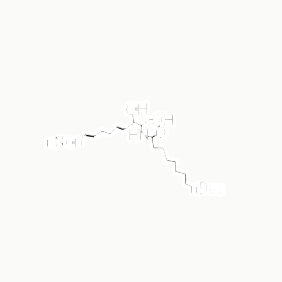 CCCCCCCCC/C=C/CC/C=C/C(O)C(CO)NC(=O)CCCCCCCCCCCCCCCCC